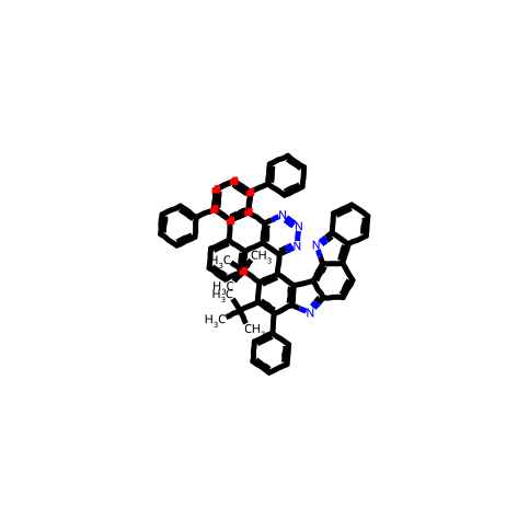 CC(C)(C)c1c(-c2ccccc2)c2c(c(-c3nnnc(-c4ccccc4-c4ccccc4)c3-c3ccccc3-c3ccccc3-c3ccccc3)c1C(C)(C)C)-c1c3c(ccc1=N2)=c1ccccc1=N3